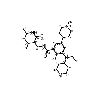 CCN(c1cc(C2CCN(C)CC2)cc(C(=O)NCC2C(=O)NC(C)CC2C)c1C)C1CCOCC1